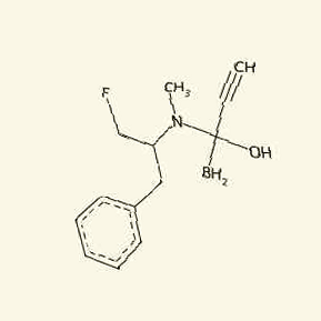 BC(O)(C#C)N(C)C(CF)Cc1ccccc1